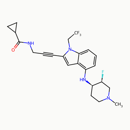 CN1CC[C@@H](Nc2cccc3c2cc(C#CCNC(=O)C2CC2)n3CC(F)(F)F)[C@@H](F)C1